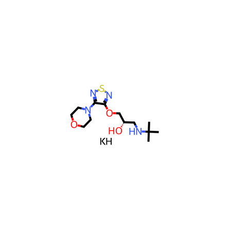 CC(C)(C)NC[C@H](O)COc1nsnc1N1CCOCC1.[KH]